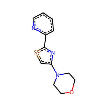 c1ccc(-c2nc(N3CCOCC3)cs2)nc1